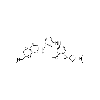 COc1cc(Nc2nccc(Nc3cnc4c(c3)OC(CN(C)C)CO4)n2)ccc1OC1CC(N(C)C)C1